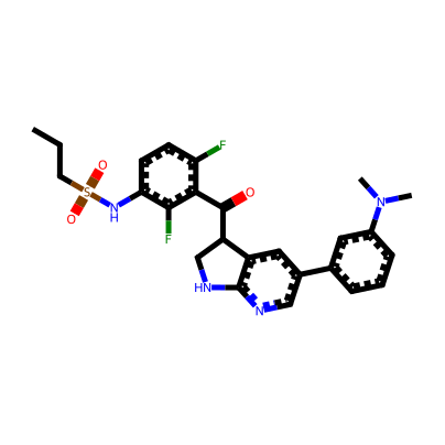 CCCS(=O)(=O)Nc1ccc(F)c(C(=O)C2CNc3ncc(-c4cccc(N(C)C)c4)cc32)c1F